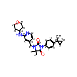 CC1(C)C(=O)N(c2ccc(C3(C(F)(F)F)CC3)cc2)C(=O)N1Cc1ccnc(NC2CCOCC2)c1